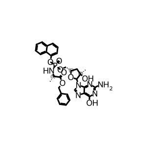 C[C@H](NP(=O)(OC[C@@H]1C[C@@](C)(O)C(n2cnc3c(O)nc(N)nc32)O1)Oc1cccc2ccccc12)C(=O)OCc1ccccc1